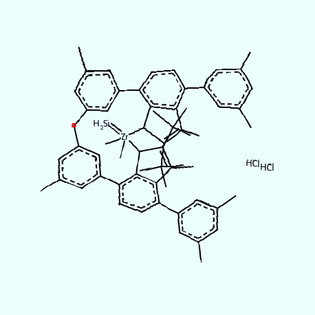 CC1=C(C(C)(C)C)[CH]([Zr]([CH3])([CH3])(=[SiH2])[CH]2C(C(C)(C)C)=C(C)c3c(-c4cc(C)cc(C)c4)ccc(-c4cc(C)cc(C)c4)c32)c2c(-c3cc(C)cc(C)c3)ccc(-c3cc(C)cc(C)c3)c21.Cl.Cl